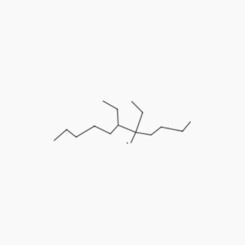 [CH2]C(CC)(CCCC)C(CC)CCCCC